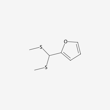 CSC(SC)c1ccco1